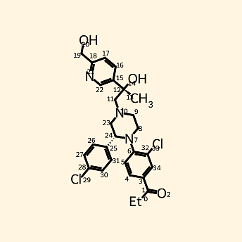 CCC(=O)c1ccc(N2CCN(C[C@@](C)(O)c3ccc(CO)nc3)C[C@H]2c2ccc(Cl)cc2)c(Cl)c1